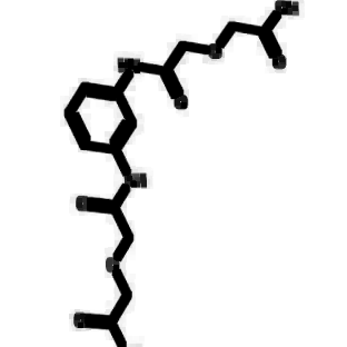 O=C(O)COCC(=O)Nc1cccc(NC(=O)COCC(=O)O)c1